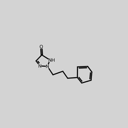 O=c1cnn(CCCc2ccccc2)[nH]1